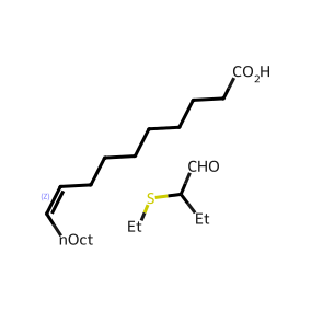 CCCCCCCC/C=C\CCCCCCCC(=O)O.CCSC(C=O)CC